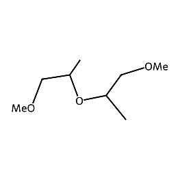 COCC(C)OC(C)COC